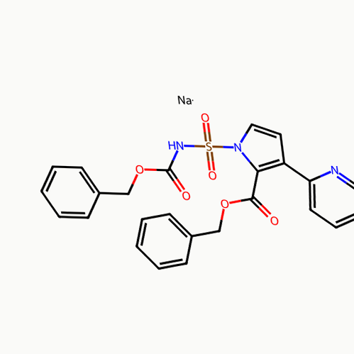 O=C(NS(=O)(=O)n1ccc(-c2ccccn2)c1C(=O)OCc1ccccc1)OCc1ccccc1.[Na]